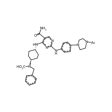 CC(=O)N1CCN(c2ccc(Nc3ncc(C(N)=O)c(N[C@H]4CC[C@H](N(Cc5ccccc5)C(=O)O)CC4)n3)cc2)CC1